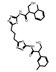 CC1C=C(C(CO)C(=O)Nc2nnc(CCCc3nnc(NC(=O)C(CO)C4C=CC=CC4C)s3)s2)C=CC1